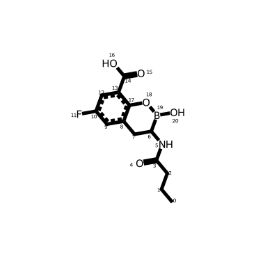 CCCC(=O)NC1Cc2cc(F)cc(C(=O)O)c2OB1O